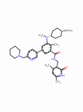 CC(=O)N[C@H]1CC[C@H](N(C)c2cc(-c3ccc(CN4CCCCC4)nc3)cc(C(=O)NCc3c(C)cc(C)[nH]c3=O)c2C)CC1